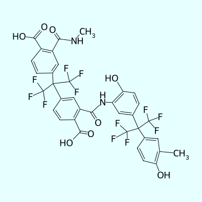 CNC(=O)c1cc(C(c2ccc(C(=O)O)c(C(=O)Nc3cc(C(c4ccc(O)c(C)c4)(C(F)(F)F)C(F)(F)F)ccc3O)c2)(C(F)(F)F)C(F)(F)F)ccc1C(=O)O